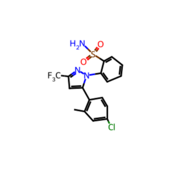 Cc1cc(Cl)ccc1-c1cc(C(F)(F)F)nn1-c1ccccc1S(N)(=O)=O